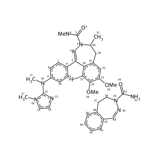 CNC(=O)N1N=C(c2ccc(N(C)c3nccn3C)cc2)c2c(cc(OC)c(OC)c2F)CC1C.NC(=O)N1CCc2ccccc2C=N1